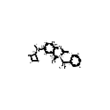 CC[C@H](c1ccccc1)n1c(C)nc2ccc(N(C)C3CCC3)cc2c1=O